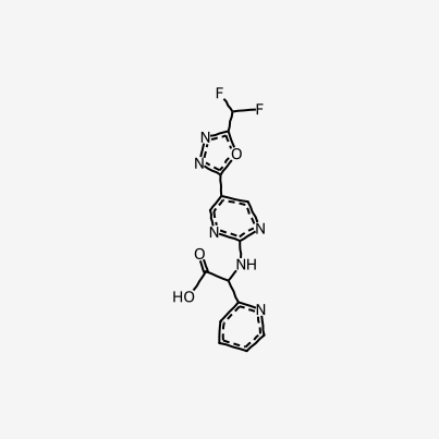 O=C(O)C(Nc1ncc(-c2nnc(C(F)F)o2)cn1)c1ccccn1